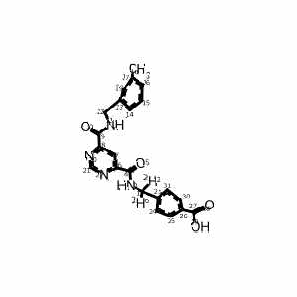 [2H]C([2H])(NC(=O)c1cc(C(=O)NCc2cccc(C)c2)ncn1)c1ccc(C(=O)O)cc1